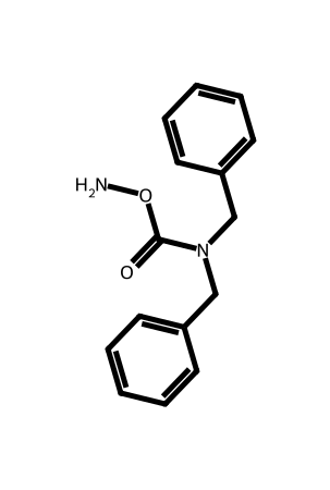 NOC(=O)N(Cc1ccccc1)Cc1ccccc1